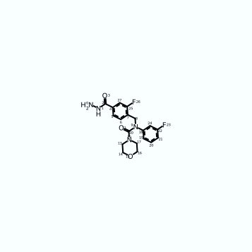 NNC(=O)c1ccc(CN(C(=O)N2CCOCC2)c2cccc(F)c2)c(F)c1